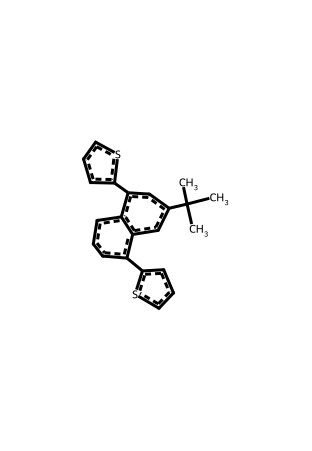 CC(C)(C)c1cc(-c2cccs2)c2cccc(-c3cccs3)c2c1